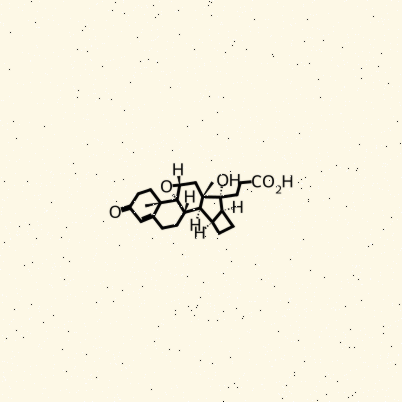 C[C@]12CCC(=O)C=C1CC[C@H]1[C@@H]3[C@@H]4CC[C@@H]4[C@](O)(CCC(=O)O)[C@@]3(C)C[C@H]3O[C@]312